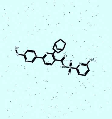 CC(C)Oc1ccc(-c2ccc(C(=O)NS(=O)(=O)c3cccc(N)n3)c(N3C4CCC3CC4)n2)cn1